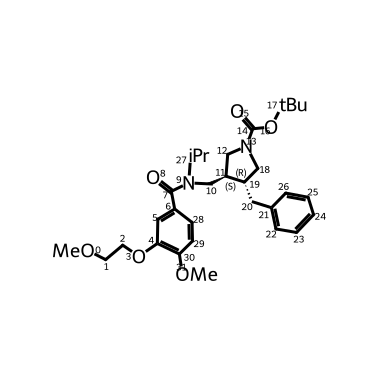 COCCOc1cc(C(=O)N(C[C@H]2CN(C(=O)OC(C)(C)C)C[C@@H]2Cc2ccccc2)C(C)C)ccc1OC